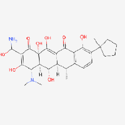 C[C@H]1c2ccc(C3(C)CCCC3)c(O)c2C(=O)C2=C(O)[C@]3(O)C(=O)C(C(N)O)=C(O)[C@@H](N(C)C)[C@@H]3[C@@H](O)[C@@H]21